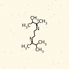 CC(=NCCN=C(C)C(C)C)C(C)C